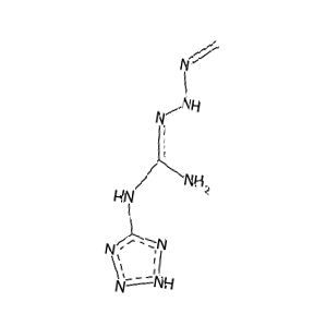 C=NN/N=C(\N)Nc1nn[nH]n1